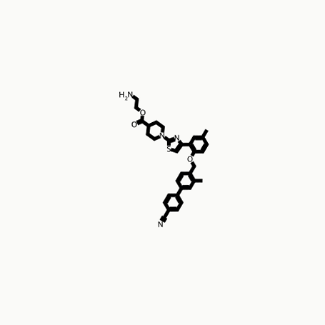 Cc1ccc(OCc2ccc(-c3ccc(C#N)cc3)cc2C)c(-c2csc(N3CCC(C(=O)OCCN)CC3)n2)c1